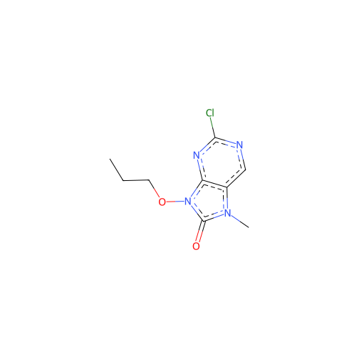 CCCOn1c(=O)n(C)c2cnc(Cl)nc21